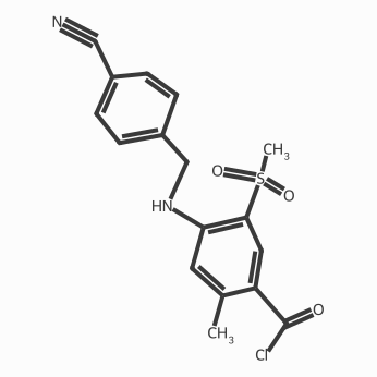 Cc1cc(NCc2ccc(C#N)cc2)c(S(C)(=O)=O)cc1C(=O)Cl